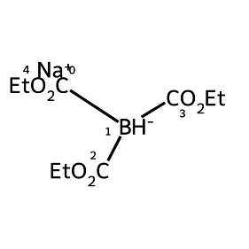 CCOC(=O)[BH-](C(=O)OCC)C(=O)OCC.[Na+]